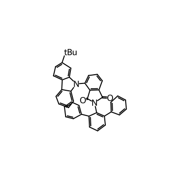 CC(C)(C)c1ccc2c3ccccc3n(-c3cccc4c3C(=O)N(c3c(-c5ccccc5)cccc3-c3ccccc3)C4=O)c2c1